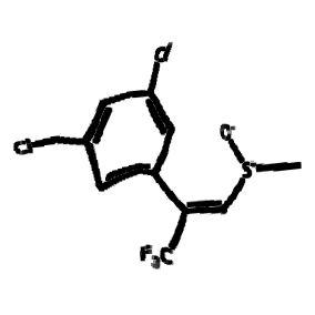 C[S+]([O-])/C=C(\c1cc(Cl)cc(Cl)c1)C(F)(F)F